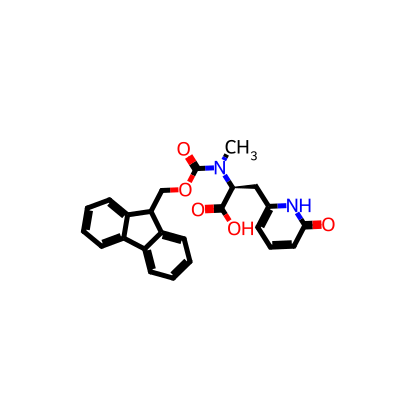 CN(C(=O)OCC1c2ccccc2-c2ccccc21)[C@@H](Cc1cccc(=O)[nH]1)C(=O)O